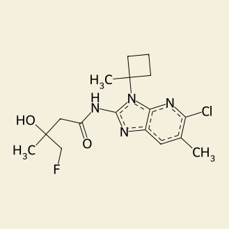 Cc1cc2nc(NC(=O)CC(C)(O)CF)n(C3(C)CCC3)c2nc1Cl